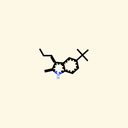 C=c1[nH]c2ccc(C(C)(C)C)cc2/c1=C/CC